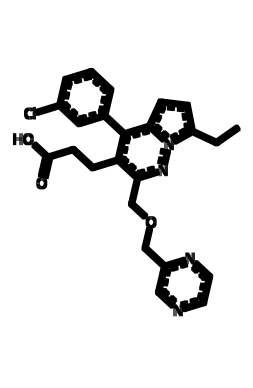 CCc1ccc2c(-c3cccc(Cl)c3)c(CCC(=O)O)c(COCc3cnccn3)nn12